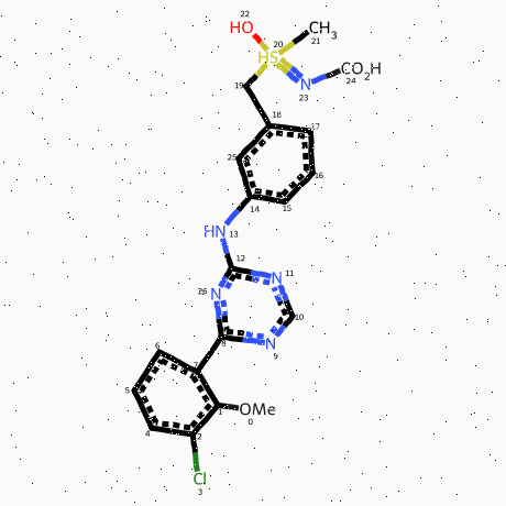 COc1c(Cl)cccc1-c1ncnc(Nc2cccc(C[SH](C)(O)=NC(=O)O)c2)n1